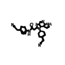 N#CCC1CCC(n2c(CC(=O)NC34CCC(CC#N)(CC3)C4)nc3cnc4[nH]ccc4c32)CC1